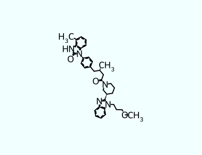 COCCCn1c([C@@H]2CCCN(C(=O)C[C@H](C)Cc3ccc(-n4c(=O)[nH]c5c(C)cccc54)cc3)C2)nc2ccccc21